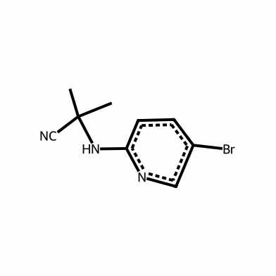 CC(C)(C#N)Nc1ccc(Br)cn1